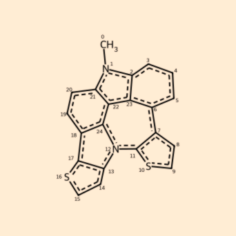 Cn1c2cccc3c4ccsc4n4c5ccsc5c5ccc1c(c32)c54